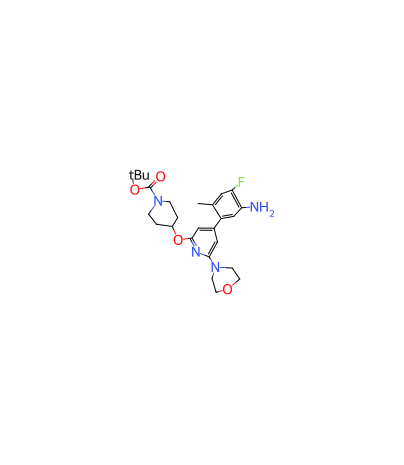 Cc1cc(F)c(N)cc1-c1cc(OC2CCN(C(=O)OC(C)(C)C)CC2)nc(N2CCOCC2)c1